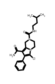 CC(C)CCNC(=O)N1CCn2c(Cl)c(-c3ccccc3)c(C(N)=O)c2C1